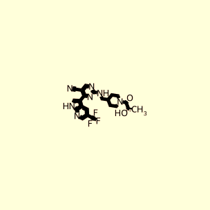 C[C@@H](O)C(=O)N1CCC(CNc2ncc(C#N)c(-c3c[nH]c4ncc(C(F)(F)F)cc34)n2)CC1